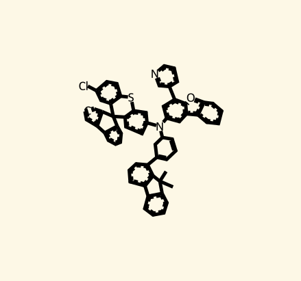 CC1(C)c2ccccc2-c2cccc(C3=CC=CC(N(c4ccc5c(c4)Sc4ccc(Cl)cc4C54c5ccccc5-c5ccccc54)c4cc(-c5cccnc5)c5oc6ccccc6c5c4)C3)c21